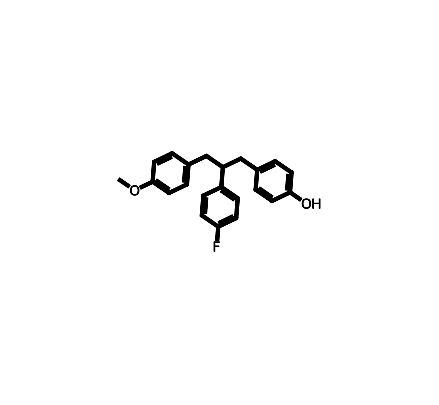 COc1ccc(CC(Cc2ccc(O)cc2)c2ccc(F)cc2)cc1